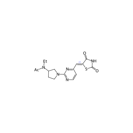 CCN(C(C)=O)C1CCN(c2nccc(/C=C3\SC(=O)NC3=O)n2)C1